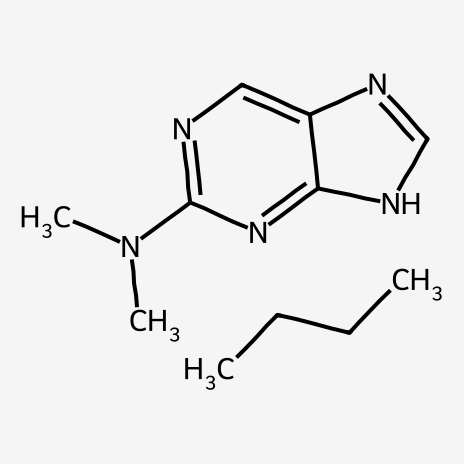 CCCC.CN(C)c1ncc2nc[nH]c2n1